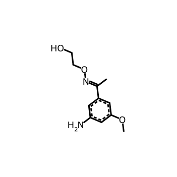 COc1cc(N)cc(C(C)=NOCCO)c1